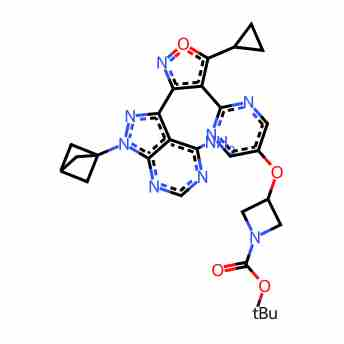 CC(C)(C)OC(=O)N1CC(Oc2cnc(-c3c(-c4nn(C56CC(C5)C6)c5ncnc(N)c45)noc3C3CC3)nc2)C1